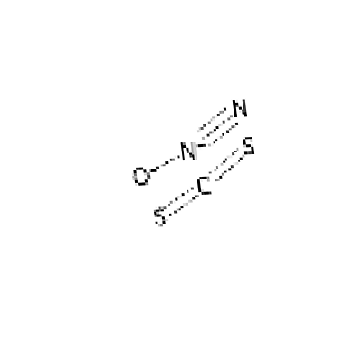 N#[N+][O-].S=C=S